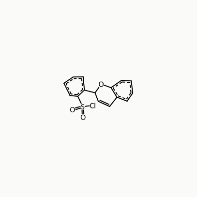 O=S(=O)(Cl)c1ccccc1C1C=Cc2ccccc2O1